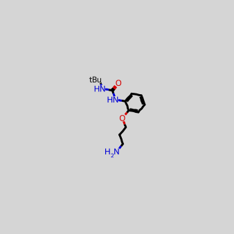 CC(C)(C)NC(=O)Nc1ccccc1OCCCN